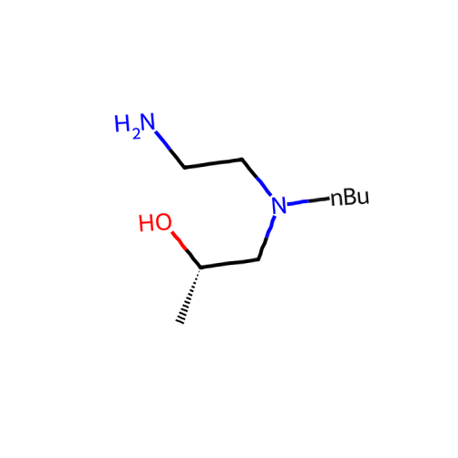 CCCCN(CCN)C[C@H](C)O